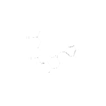 CC(O)CCOC(O)N[C@H]1CN(Cc2ccccc2)CC[C@H]1C